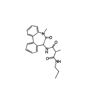 CCCNC(=O)C(C)C(=O)NC1C(=O)N(C)c2ccccc2-c2ccccc21